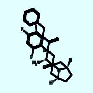 N[C@H](Cc1cc(F)c(F)cc1F)C1C[C@H]2CC[C@@H](C1)N2C(=O)CNC(=O)CCc1ccccc1